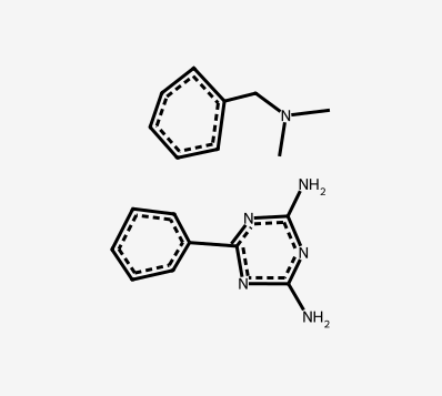 CN(C)Cc1ccccc1.Nc1nc(N)nc(-c2ccccc2)n1